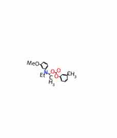 CCN(c1cccc(OC)c1)C(C)OC(=O)Oc1cccc(C)c1